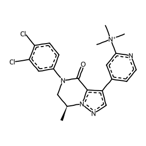 C[C@H]1CN(c2ccc(Cl)c(Cl)c2)C(=O)c2c(-c3ccnc([N+](C)(C)C)c3)cnn21